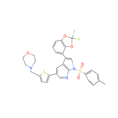 Cc1ccc(S(=O)(=O)n2cc(-c3cccc4c3OC(F)(F)O4)c3cc(-c4ccc(CN5CCOCC5)s4)cnc32)cc1